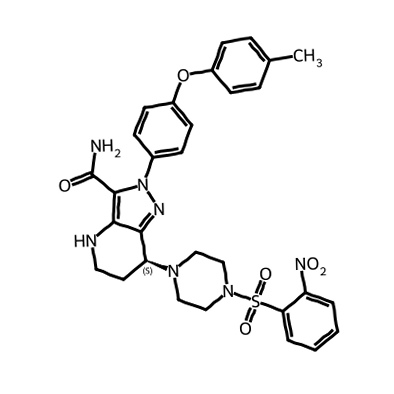 Cc1ccc(Oc2ccc(-n3nc4c(c3C(N)=O)NCC[C@@H]4N3CCN(S(=O)(=O)c4ccccc4[N+](=O)[O-])CC3)cc2)cc1